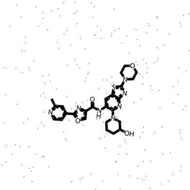 Cc1cc(-c2nc(C(=O)Nc3cc4sc(N5CCOCC5)nc4nc3N3CCCC(O)C3)co2)ccn1